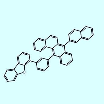 c1cc(-c2cccc3c2oc2ccccc23)cc(-c2c3ccccc3c(-c3ccc4ccccc4c3)c3ccc4ccccc4c23)c1